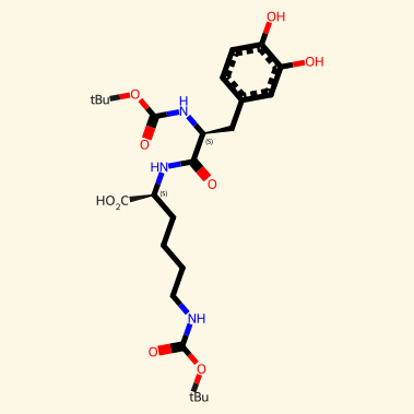 CC(C)(C)OC(=O)NCCCC[C@H](NC(=O)[C@H](Cc1ccc(O)c(O)c1)NC(=O)OC(C)(C)C)C(=O)O